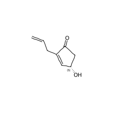 C=CCC1=C[C@@H](O)CC1=O